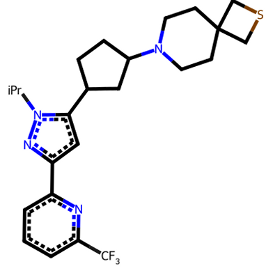 CC(C)n1nc(-c2cccc(C(F)(F)F)n2)cc1C1CCC(N2CCC3(CC2)CSC3)C1